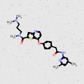 Cc1cc(C)nc(NC(=O)Cc2ccc(Oc3ccnc4cc(C(=O)N(C)CCCN(C)C)sc34)cc2)c1